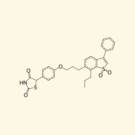 CCCc1c(CCCOc2ccc(C3SC(=O)NC3=O)cc2)ccc2c1S(=O)(=O)C=C2c1ccccc1